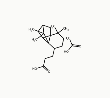 CC(=O)O.CC1(C)CCC(CCC(=O)O)C23C4CC(CC412)C3(C)C